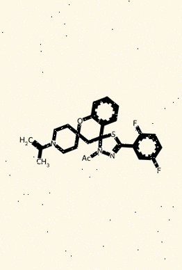 C=C(C)N1CCC2(CC1)CC1(SC(c3cc(F)ccc3F)=NN1C(C)=O)c1ccccc1O2